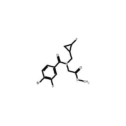 COC(=O)CN(CC1CC1F)C(=O)c1ccc(Br)c(F)c1